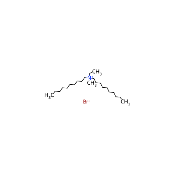 CCCCCCCCCC[N+](C)(CC)CCCCCCCCCC.[Br-]